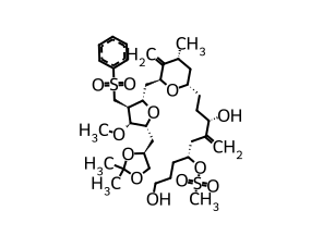 C=C1[C@H](C)C[C@H](CC[C@H](O)C(=C)C[C@@H](CCCO)OS(C)(=O)=O)O[C@H]1C[C@@H]1O[C@H](C[C@H]2COC(C)(C)O2)[C@H](OC)[C@H]1CS(=O)(=O)c1ccccc1